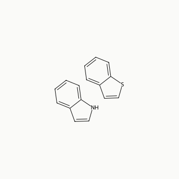 c1ccc2[nH]ccc2c1.c1ccc2sccc2c1